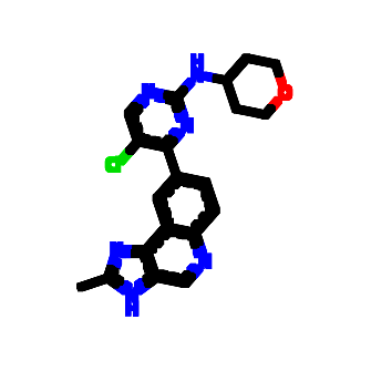 Cc1nc2c(cnc3ccc(-c4nc(NC5CCOCC5)ncc4Cl)cc32)[nH]1